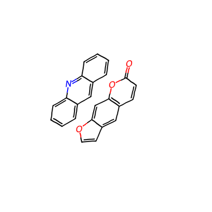 O=c1ccc2cc3ccoc3cc2o1.c1ccc2nc3ccccc3cc2c1